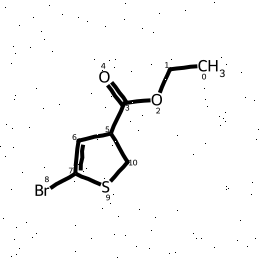 CCOC(=O)C1C=C(Br)SC1